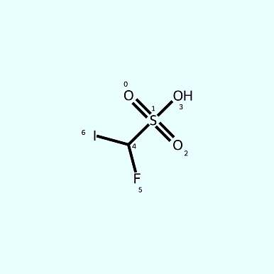 O=S(=O)(O)C(F)I